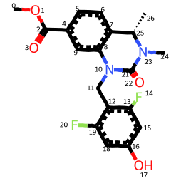 COC(=O)c1ccc2c(c1)N(Cc1c(F)cc(O)cc1F)C(=O)N(C)[C@H]2C